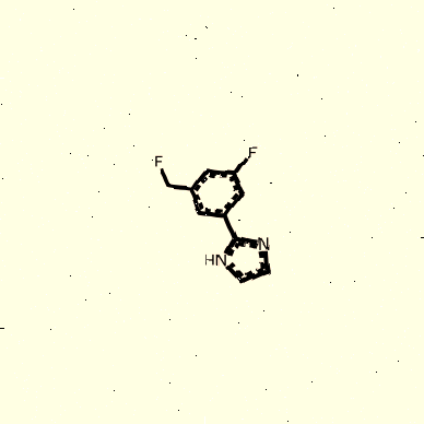 FCc1cc(F)cc(-c2ncc[nH]2)c1